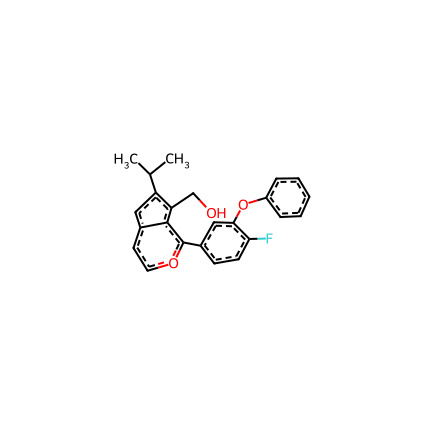 CC(C)c1cc2ccoc(-c3ccc(F)c(Oc4ccccc4)c3)c-2c1CO